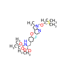 COC(=O)[C@H](Cc1ccc(Oc2ccnc3c2cc(C)n3COCCS(C)(C)C)c(F)c1)NC(=O)OC(C)(C)C